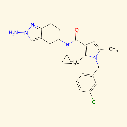 Cc1cc(C(=O)N(C2CC2)C2CCc3nn(N)cc3C2)c(C)n1Cc1cccc(Cl)c1